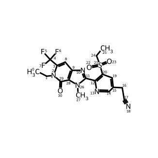 CCn1c(C(F)(F)F)cc2nc(-c3ncc(CC#N)cc3S(=O)(=O)CC)n(C)c2c1=O